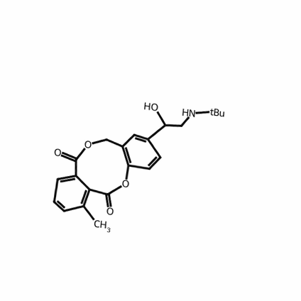 Cc1cccc2c1C(=O)Oc1ccc(C(O)CNC(C)(C)C)cc1COC2=O